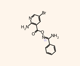 N/C(=N\OC(=O)c1cc(Br)cnc1N)c1ccccc1